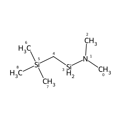 CN(C)[SiH2]C[Si](C)(C)C